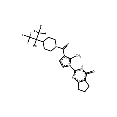 Cc1c(C(=O)N2CCC(C(O)(C(F)(F)F)C(F)(F)F)CC2)cnn1-c1nc2c(c(=O)[nH]1)CCC2